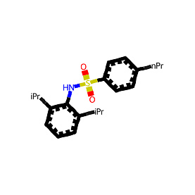 CCCc1ccc(S(=O)(=O)Nc2c(C(C)C)cccc2C(C)C)cc1